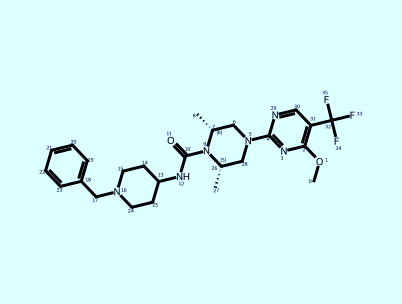 COc1nc(N2C[C@@H](C)N(C(=O)NC3CCN(Cc4ccccc4)CC3)[C@@H](C)C2)ncc1C(F)(F)F